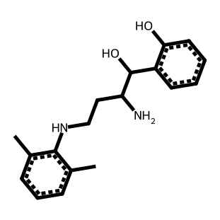 Cc1cccc(C)c1NCCC(N)C(O)c1ccccc1O